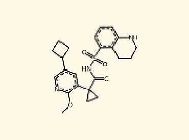 COc1ncc(C2CCC2)cc1C1(C(=O)NS(=O)(=O)c2cccc3c2CCCN3)CC1